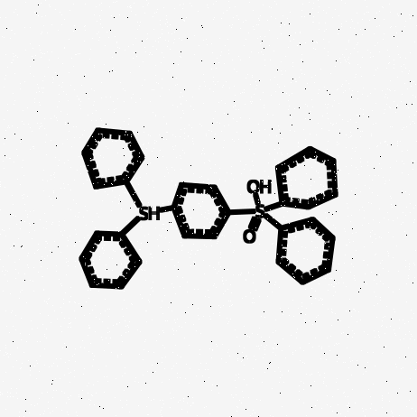 O=S(O)(c1ccccc1)(c1ccccc1)c1ccc([SH](c2ccccc2)c2ccccc2)cc1